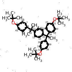 CC(C)(C)Oc1ccc(C(C)(C)c2ccc(C(C)(c3ccc(OC(C)(C)C)cc3)c3ccc(OC(C)(C)C)cc3)cc2)cc1